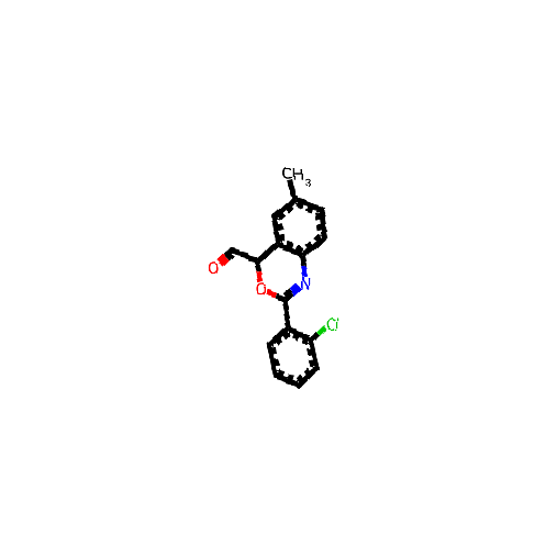 Cc1ccc2c(c1)C(C=O)OC(c1ccccc1Cl)=N2